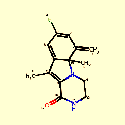 C=C1C=C(F)C=C2C(C)=C3C(=O)NCCN3C12C